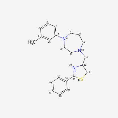 Cc1cccc(N2CCCN(CC3CSC(c4ccccc4)=N3)CC2)c1